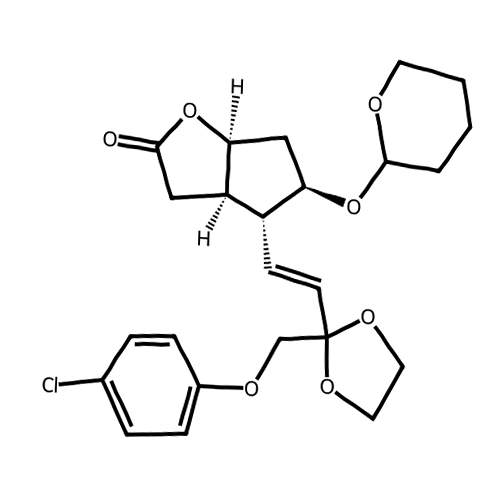 O=C1C[C@@H]2[C@@H](/C=C/C3(COc4ccc(Cl)cc4)OCCO3)[C@H](OC3CCCCO3)C[C@@H]2O1